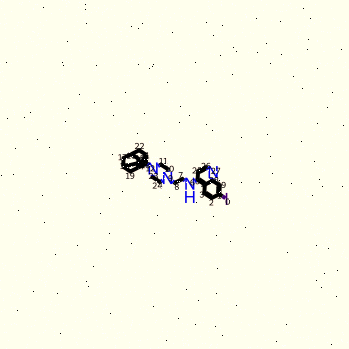 Ic1ccc2c(NCCN3CCN(C4C5CC6CC(C5)CC4C6)CC3)ccnc2c1